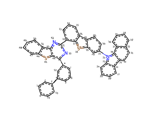 c1ccc(-c2cccc(-c3nc(-c4cccc5c4sc4cc(-n6c7ccccc7c7ccc8ccccc8c76)ccc45)nc4c3sc3ccccc34)c2)cc1